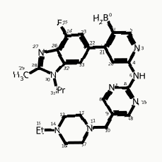 Bc1cnc(Nc2ncc(CN3CCN(CC)CC3)cn2)cc1-c1cc(F)c2nc(C)n(C(C)C)c2c1